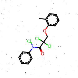 Cc1ccccc1OCC(Cl)(Cl)C(=O)N(Cl)c1ccccc1